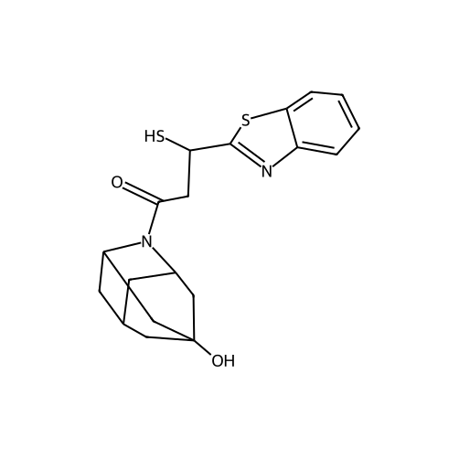 O=C(CC(S)c1nc2ccccc2s1)N1C2CC3CC1CC(O)(C3)C2